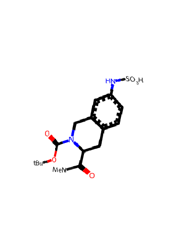 CNC(=O)C1Cc2ccc(NS(=O)(=O)O)cc2CN1C(=O)OC(C)(C)C